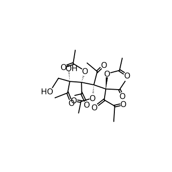 CC(=O)O[C@@](C(C)=O)(C(=O)C(C)=O)[C@](OC(C)=O)(C(C)=O)[C@@](OC(C)=O)(C(C)=O)[C@](O)(CO)C(C)=O